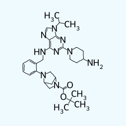 CC(C)n1cnc2c(NCc3ccccc3N3CC4CC3CN4C(=O)OC(C)(C)C)nc(N3CCC(N)CC3)nc21